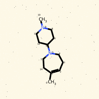 CC1=CCCN(C2CCN(C)CC2)CC1